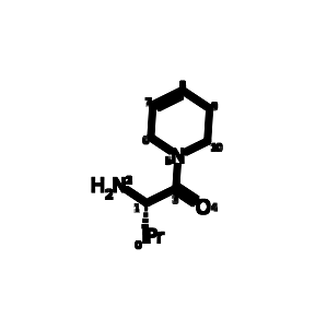 CC(C)[C@H](N)C(=O)N1CC=CCC1